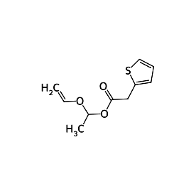 C=COC(C)OC(=O)Cc1cccs1